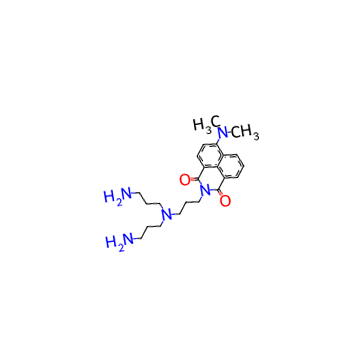 CN(C)c1ccc2c3c(cccc13)C(=O)N(CCCN(CCCN)CCCN)C2=O